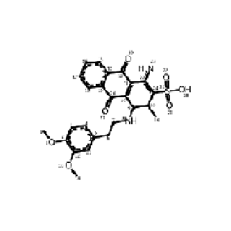 COc1ccc(CCNC2C3=C(C(=O)c4ccccc4C3=O)C(N)=C(S(=O)(=O)O)C2C)cc1OC